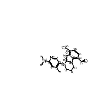 Cc1cc(N(C)C)ncc1N1CCCn2c1nc1c(Cl)ccc(C=O)c12